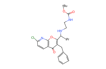 CC(C)C(NCCNC(=O)OC(C)(C)C)c1oc2nc(Cl)ccc2c(=O)c1Cc1ccccc1